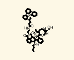 CCCCNc1c(-c2ccccc2-c2nnc(C)c3c2CC[C@H]2[C@@H](CO)[C@H]2CC3)cc2c3c(cccc13)C(=O)N(CCNC(=O)CCCC[PH](c1ccccc1)(c1ccccc1)c1ccccc1)C2=O